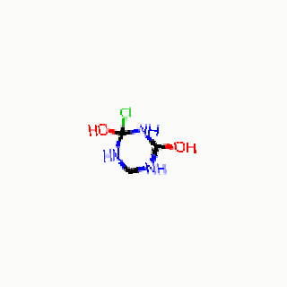 OC1NCNC(O)(Cl)N1